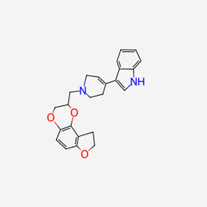 C1=C(c2c[nH]c3ccccc23)CCN(CC2COc3ccc4c(c3O2)CCO4)C1